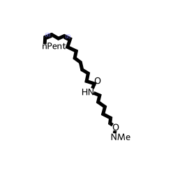 CCCCC/C=C\C/C=C\CCCCCCCC(=O)NCCCCCCONC